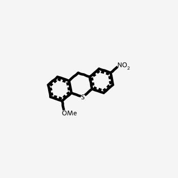 COc1cccc2c1Sc1ccc([N+](=O)[O-])cc1C2